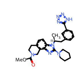 COC(=O)N1CCc2ccc3c(nc(N4CCCCC4)n3[C@@H](C)Cc3cccc(-c4nnn[nH]4)c3)c2C1